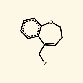 BrCC1=CCCOc2ccccc21